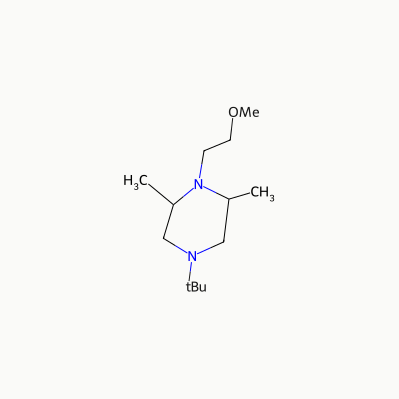 COCCN1C(C)CN(C(C)(C)C)CC1C